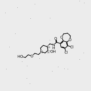 O=C(NC[C@@H]1CCN(CCOCCO)C[C@H]1O)c1cc(Cl)c(Cl)c2c1OCCCO2